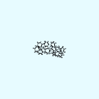 c1ccc(C2(c3ccccc3)c3cc(-c4cc5c(c6ccccc46)Oc4ccccc4C54c5ccccc5-c5ccccc54)ccc3-c3ccc4ccccc4c32)cc1